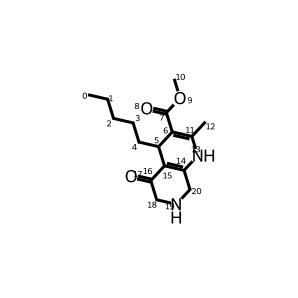 CCCCCC1C(C(=O)OC)=C(C)NC2=C1C(=O)CNC2